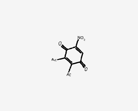 CC(=O)C1=C(C(C)=O)C(=O)C([N+](=O)[O-])=CC1=O